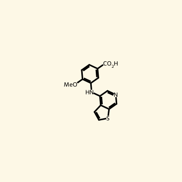 COc1ccc(C(=O)O)cc1Nc1cncc2sccc12